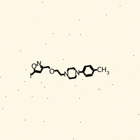 Cc1ccc(N2CCN(CCOCc3cc(I)on3)CC2)cc1